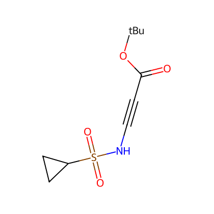 CC(C)(C)OC(=O)C#CNS(=O)(=O)C1CC1